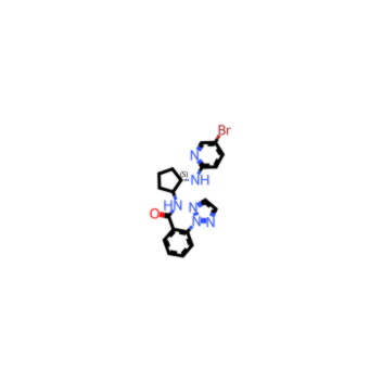 O=C(NC1CCC[C@@H]1Nc1ccc(Br)cn1)c1ccccc1-n1nccn1